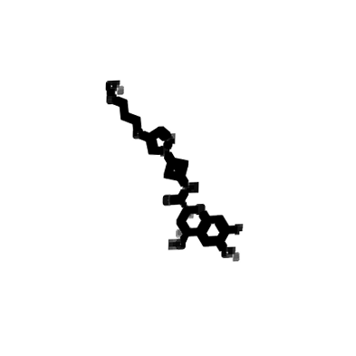 O=C(NC12CC(n3cc(OCCCOC(F)(F)F)cn3)(C1)C2)[C@H]1C[C@H](O)c2cc(C(F)(F)F)c(F)cc2O1